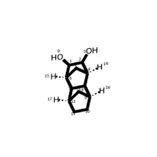 OC1C(O)[C@@H]2C[C@H]1C1C2[C@H]2CC[C@@H]1C2